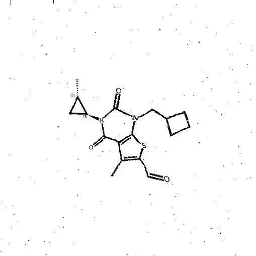 Cc1c(C=O)sc2c1c(=O)n([C@H]1C[C@@H]1C)c(=O)n2CC1CCC1